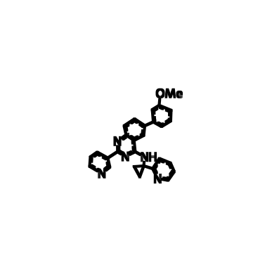 COc1cccc(-c2ccc3nc(-c4cccnc4)nc(NC4(c5ccccn5)CC4)c3c2)c1